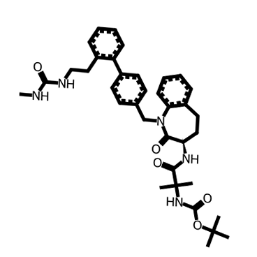 CNC(=O)NCCc1ccccc1-c1ccc(CN2C(=O)[C@H](NC(=O)C(C)(C)NC(=O)OC(C)(C)C)CCc3ccccc32)cc1